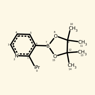 CC(C)c1ncccc1B1OC(C)(C)C(C)(C)O1